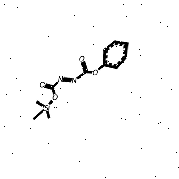 C[Si](C)(C)OC(=O)N=NC(=O)Oc1ccccc1